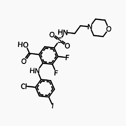 O=C(O)c1cc(S(=O)(=O)NCCN2CCOCC2)c(F)c(F)c1Nc1ccc(I)cc1Cl